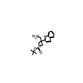 CC(C)(C)OC(=O)N1CC(CN)(c2ccc3ccccc3n2)C1